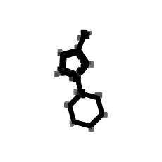 Brc1cnn(N2CCCCC2)c1